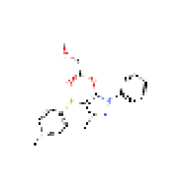 COCC(=O)Oc1c(Sc2ccc(C)cc2)c(C)nn1-c1ccccc1